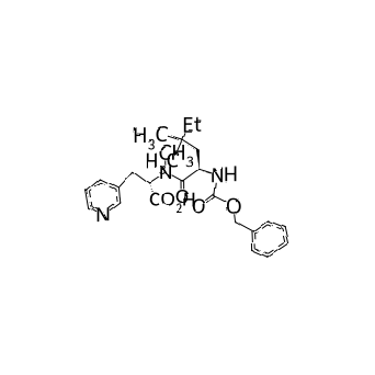 CCC(C)(C)C[C@@H](NC(=O)OCc1ccccc1)C(=O)N(C)[C@@H](Cc1cccnc1)C(=O)O